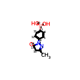 CC1=NN(c2ccc(B(O)O)cc2)C(=O)C1